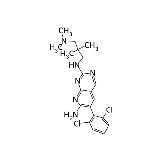 CN(C)CC(C)(C)CNc1ncc2cc(-c3c(Cl)cccc3Cl)c(N)nc2n1